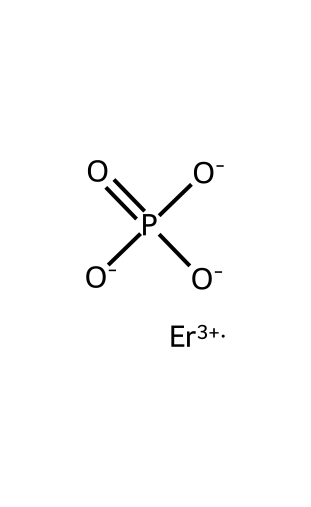 O=P([O-])([O-])[O-].[Er+3]